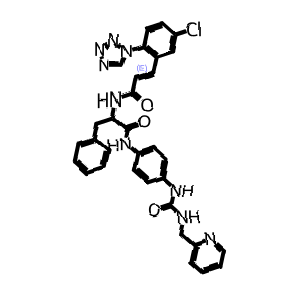 O=C(/C=C/c1cc(Cl)ccc1-n1cnnn1)NC(Cc1ccccc1)C(=O)Nc1ccc(NC(=O)NCc2ccccn2)cc1